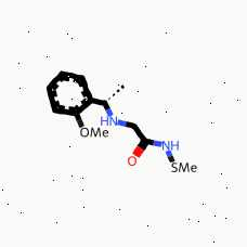 COc1ccccc1[C@H](C)NCC(=O)NSC